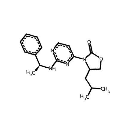 CC(C)CC1COC(=O)N1c1ccnc(N[C@@H](C)c2ccccc2)n1